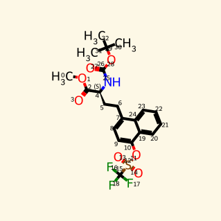 COC(=O)[C@H](CCc1ccc(OS(=O)(=O)C(F)(F)F)c2ccccc12)NC(=O)OC(C)(C)C